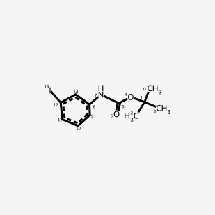 CC(C)(C)OC(=O)Nc1cccc(I)c1